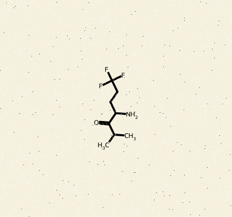 CC(C)C(=O)C(N)CCC(F)(F)F